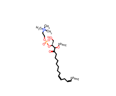 CCCCC/C=C\C/C=C\CCCCCCCC(=O)C(OCCCCC)[C@H](CO)OP(=O)([O-])OCC[N+](C)(C)C